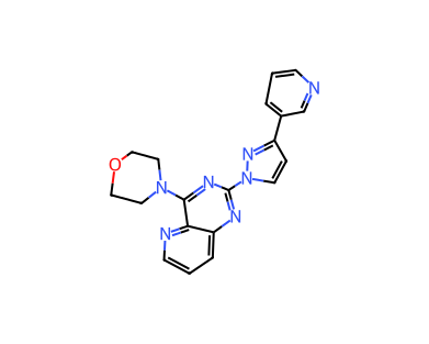 c1cncc(-c2ccn(-c3nc(N4CCOCC4)c4ncccc4n3)n2)c1